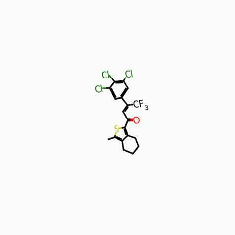 Cc1sc(C(=O)/C=C(/c2cc(Cl)c(Cl)c(Cl)c2)C(F)(F)F)c2c1CCCC2